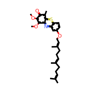 COc1c2nc3cc(OC/C=C(\C)CC/C=C(\C)CCC=C(C)C)ccc3sc-2c(C)c(=O)c1OC